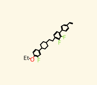 C=Cc1ccc(-c2ccc(CCC3CCC(c4ccc(OCC)c(F)c4)CC3)c(F)c2F)cc1